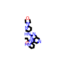 C=CC(=O)NC1(c2cncc3cnc(Nc4ccc(N5CCOCC5)nc4)nc23)C=CC=CN1